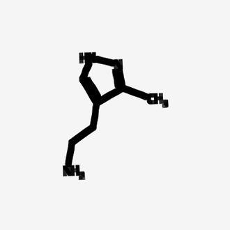 Cc1n[nH]cc1CCN